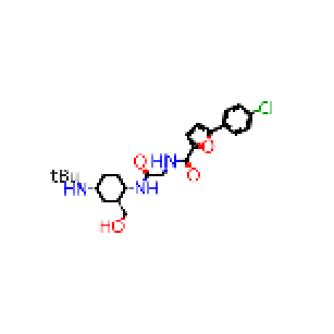 CC(C)(C)N[C@@H]1CC[C@H](NC(=O)CNC(=O)c2ccc(-c3ccc(Cl)cc3)o2)[C@@H](CO)C1